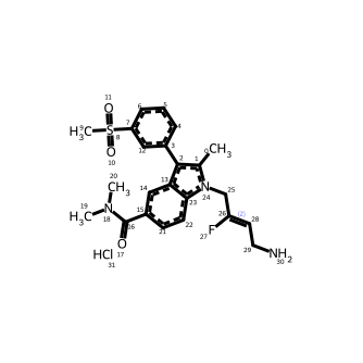 Cc1c(-c2cccc(S(C)(=O)=O)c2)c2cc(C(=O)N(C)C)ccc2n1C/C(F)=C/CN.Cl